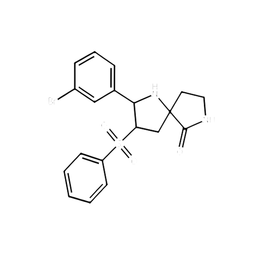 O=C1NCCC12CC(S(=O)(=O)c1ccccc1)C(c1cccc(Br)c1)N2